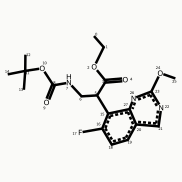 CCOC(=O)C(CNC(=O)OC(C)(C)C)c1c(F)ccc2cnc(OC)nc12